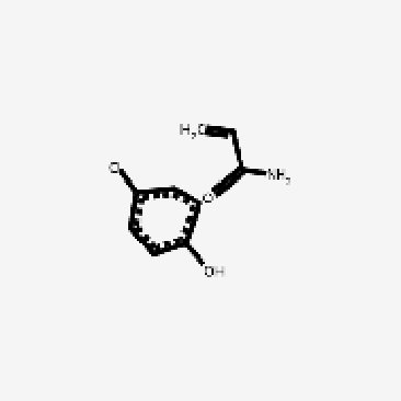 C=CC(N)=O.Oc1ccc(Cl)cc1